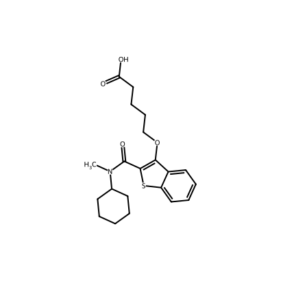 CN(C(=O)c1sc2ccccc2c1OCCCCC(=O)O)C1CCCCC1